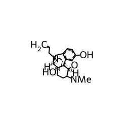 C=CCN1CC[C@]23c4c5ccc(O)c4O[C@H]2C(NC)CC[C@@]3(O)[C@H]1C5